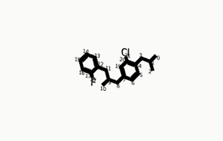 CC(C)Cc1ccc(CC(C)Cc2ccccc2F)cc1Cl